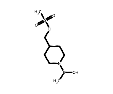 CB(O)N1CCC(COS(C)(=O)=O)CC1